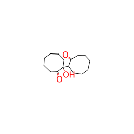 O=C1CCCCCCC1C1(O)CCCCCCC1=O